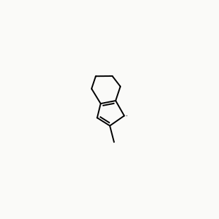 CC1=CC2=C([CH]1)CCCC2